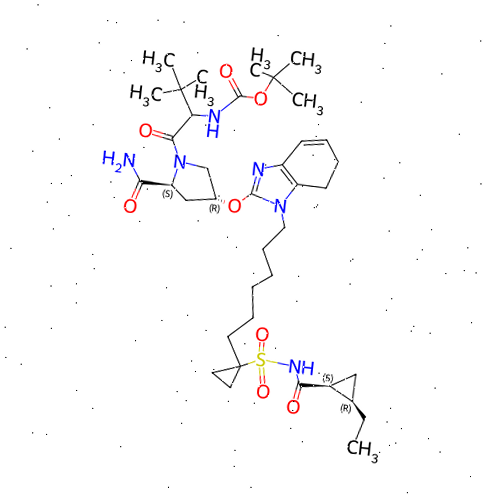 CC[C@@H]1C[C@@H]1C(=O)NS(=O)(=O)C1(CCCCCCn2c(O[C@@H]3C[C@@H](C(N)=O)N(C(=O)C(NC(=O)OC(C)(C)C)C(C)(C)C)C3)nc3c2CCC=C3)CC1